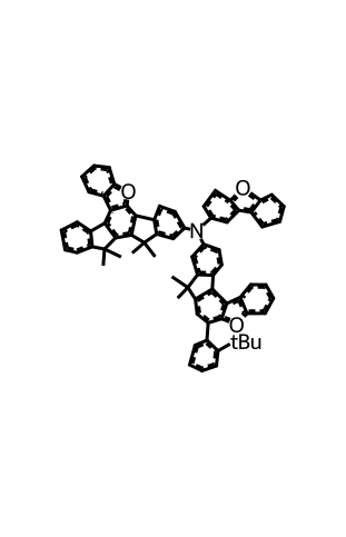 CC(C)(C)c1ccccc1-c1cc2c(c3c1oc1ccccc13)-c1ccc(N(c3ccc4c(c3)C(C)(C)c3c5c(c6c(oc7ccccc76)c3-4)-c3ccccc3C5(C)C)c3ccc4oc5ccccc5c4c3)cc1C2(C)C